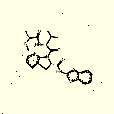 CN[C@@H](C)C(=O)N[C@H](C(=O)N1c2ncccc2C[C@H]1C(=O)Nc1nc2ccccc2s1)C(C)C